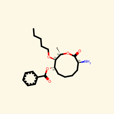 CCCCCO[C@H]1[C@H](C)OC(=O)[C@@H](N)CCCC[C@@H]1OC(=O)c1ccccc1